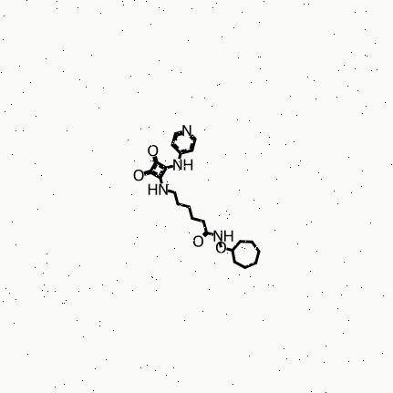 O=C(CCCCCNc1c(Nc2ccncc2)c(=O)c1=O)NOC1CCCCCC1